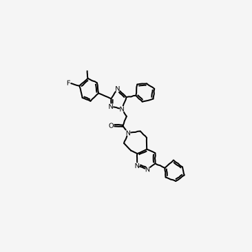 Cc1cc(-c2nc(-c3ccccc3)n(CC(=O)N3CCc4cc(-c5ccccc5)nnc4CC3)n2)ccc1F